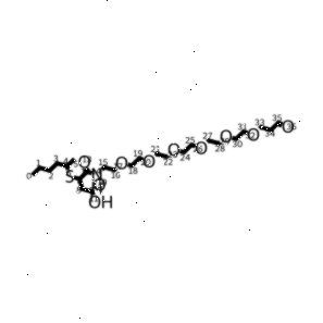 CCCCC(C)SC(CC(=O)O)C(=O)NCCOCCOCCOCCOCCOCCOCCC=O